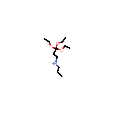 CCCNCCC(OCC)(OCC)OCC